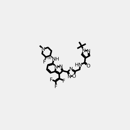 CN1CC[C@@H](Nc2cccc3c(C(F)=C(F)F)c(-c4noc(CNC(=O)c5cnn(C(C)(C)C)c5)n4)nn23)[C@@H](F)C1